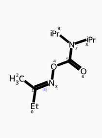 CC/C(C)=N/OC(=O)N(C(C)C)C(C)C